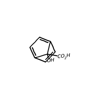 O=C(O)C1(O)C2=CC=C1C=C2